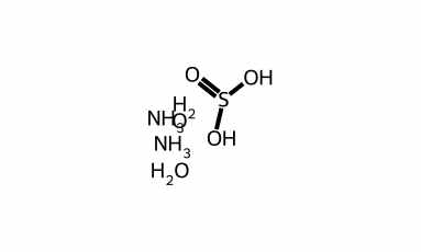 N.N.O.O.O=S(O)O